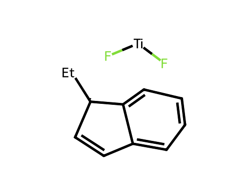 CC[C]1C=Cc2ccccc21.[F][Ti][F]